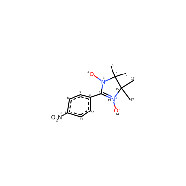 CC1(C)N([O])C(c2ccc([N+](=O)[O-])cc2)=[N+]([O-])C1(C)C